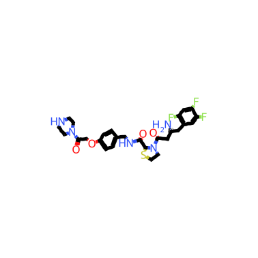 N[C@@H](CC(=O)N1CCSC1C(=O)NCc1ccc(OCC(=O)N2CCNCC2)cc1)Cc1cc(F)c(F)cc1F